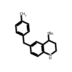 Cc1ccc(Cc2ccc3c(c2)C(C(C)(C)C)CCN3)cc1